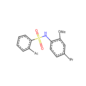 COc1cc(C(C)C)ccc1NS(=O)(=O)c1ccccc1C(C)=O